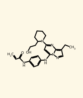 C=CC(=O)Nc1ccc(Nc2cc(N3CCCCC3CCO)nc3c(CC)cnn23)cc1